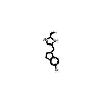 O=CC1NC=C(CC2CCc3cc(Br)ccc32)N1